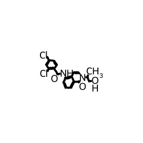 CC(CO)n1ccc2c(NC(=O)c3ccc(Cl)cc3Cl)cccc2c1=O